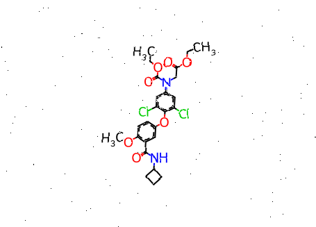 CCOC(=O)CN(C(=O)OCC)c1cc(Cl)c(Oc2ccc(OC)c(C(=O)NC3CCC3)c2)c(Cl)c1